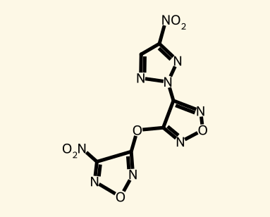 O=[N+]([O-])c1cnn(-c2nonc2Oc2nonc2[N+](=O)[O-])n1